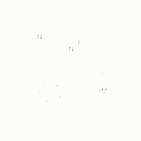 CCN(c1cc(B2OC(C)(C)C(C)(C)O2)cc(C(=O)OC)c1C)C1CCN(C)CC1